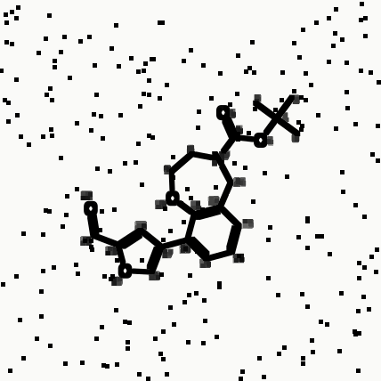 CC(C)(C)OC(=O)N1CCOc2c(cccc2-c2coc(C=O)c2)C1